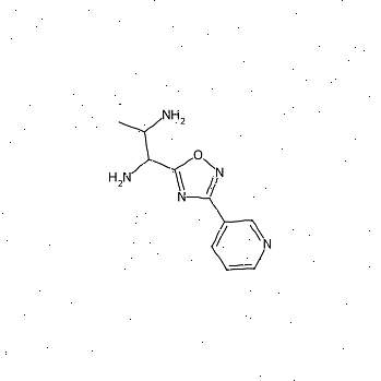 CC(N)C(N)c1nc(-c2cccnc2)no1